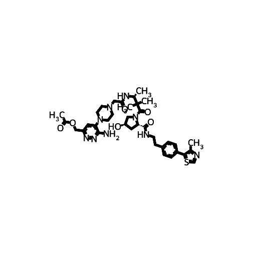 CC(=O)OCc1cc(N2CCN(CC(=O)N[C@@H](C)C(C)(C)C(=O)N3C[C@H](O)C[C@H]3C(=O)NCCc3ccc(-c4scnc4C)cc3)CC2)c(N)nn1